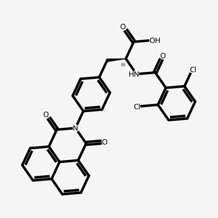 O=C(N[C@@H](Cc1ccc(N2C(=O)c3cccc4cccc(c34)C2=O)cc1)C(=O)O)c1c(Cl)cccc1Cl